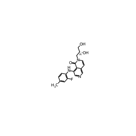 Cc1ccc(Nc2cncc3ccn(C[C@@H](O)CO)c(=O)c23)c(F)c1